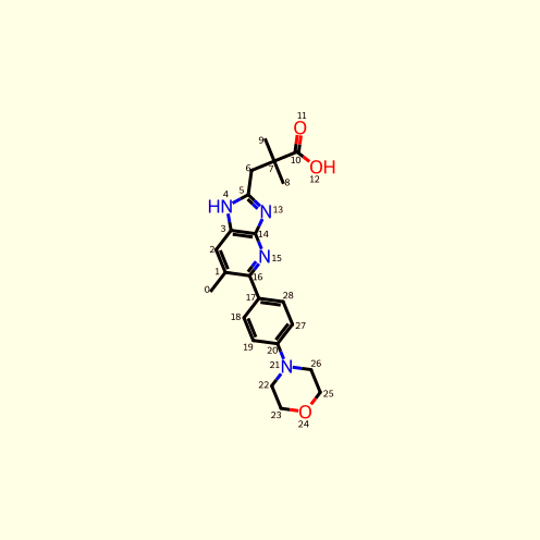 Cc1cc2[nH]c(CC(C)(C)C(=O)O)nc2nc1-c1ccc(N2CCOCC2)cc1